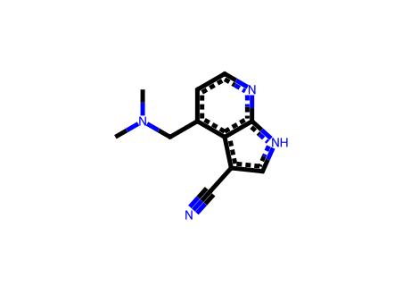 CN(C)Cc1ccnc2[nH]cc(C#N)c12